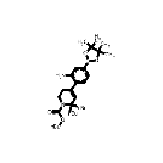 CCCCOC(=O)N1CCC(c2ccc(B3OC(C)(C)C(C)(C)O3)cc2N)=CC1(CCCC)CCCC